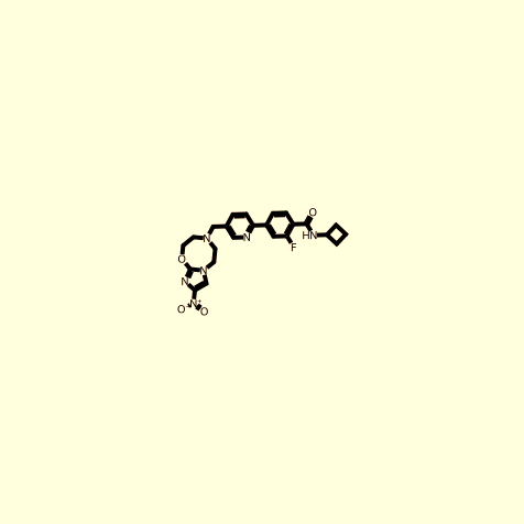 O=C(NC1CCC1)c1ccc(-c2ccc(CN3CCOc4nc([N+](=O)[O-])cn4CC3)cn2)cc1F